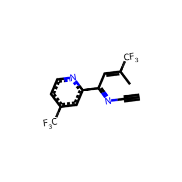 C#C/N=C(\C=C(/C)C(F)(F)F)c1cc(C(F)(F)F)ccn1